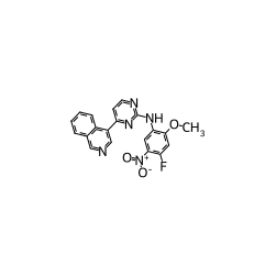 COc1cc(F)c([N+](=O)[O-])cc1Nc1nccc(-c2cncc3ccccc23)n1